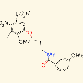 COc1cccc(C(=O)NCCCOc2cc(C(=O)O)c([N+](=O)[O-])c(C)c2OC)c1